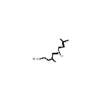 CCCCCCCCCC(C)C=[N+]([O-])CC=C(C)C